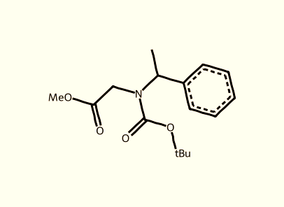 COC(=O)CN(C(=O)OC(C)(C)C)C(C)c1ccccc1